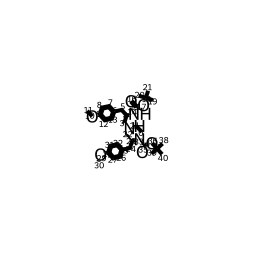 CCN(CC(Cc1ccc(OC)cc1)NC(=O)OC(C)(C)C)C[C@H](Cc1ccc(OC)cc1)NC(=O)OC(C)(C)C